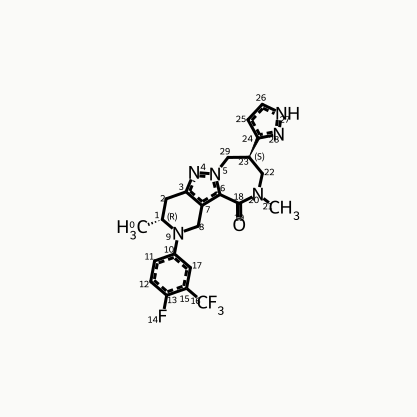 C[C@@H]1Cc2nn3c(c2CN1c1ccc(F)c(C(F)(F)F)c1)C(=O)N(C)C[C@H](c1cc[nH]n1)C3